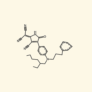 CCCCC(CC)CN(CCCc1ccccc1)c1ccc(C2=C(C#N)C(=C(C#N)C#N)NC2=O)cc1